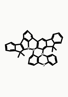 CC1(C)c2ccccc2-c2cc3c4c(c21)N1c2ccccc2Sc2cccc(c21)B4n1c2c(c4cccc-3c41)-c1ccccc1C2(C)C